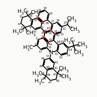 Cc1cc(N(c2ccc3c(c2)C(C)(C)CCC3(C)C)c2ccc(C(C)C)cc2-c2ccccc2)cc(N(c2ccc3c(c2)C(C)(C)CCC3(C)C)c2ccc(C(C)(C)C)cc2-c2ccccc2)c1